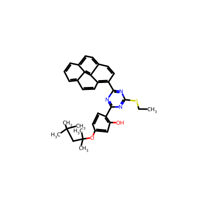 CCSc1nc(-c2ccc(OC(C)(C)CC(C)(C)C)cc2O)nc(-c2ccc3ccc4cccc5ccc2c3c45)n1